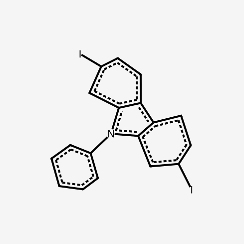 Ic1ccc2c3ccc(I)cc3n(-c3ccccc3)c2c1